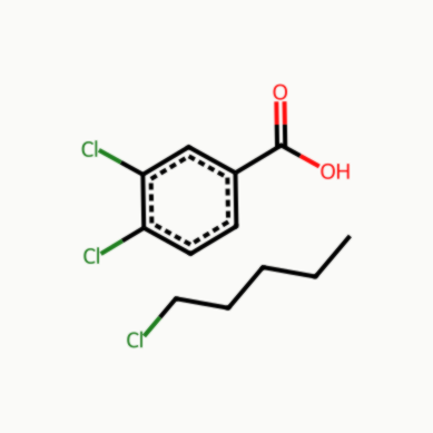 CCCCCCl.O=C(O)c1ccc(Cl)c(Cl)c1